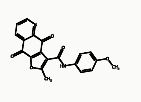 COc1ccc(NC(=O)c2c(C)oc3c2C(=O)c2ncccc2C3=O)cc1